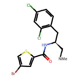 CNC[C@H](Cc1ccc(Cl)cc1Cl)NC(=O)c1cc(Br)cs1